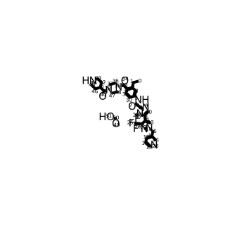 CCc1cc(NC(=O)c2ncc(-c3cn(Cc4cccnc4)nc3C(F)(F)F)n2C)ccc1C(=O)N1CCN(C(=O)C2CCNCC2)CC1.O=CO